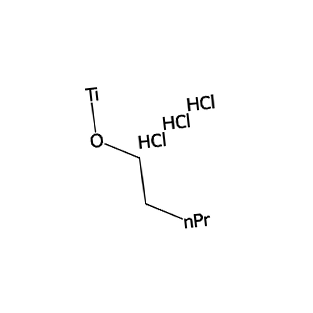 CCCCC[O][Ti].Cl.Cl.Cl